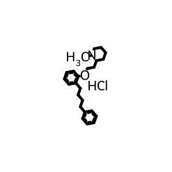 CN1CCCCC1CCOc1ccccc1CCCCc1ccccc1.Cl